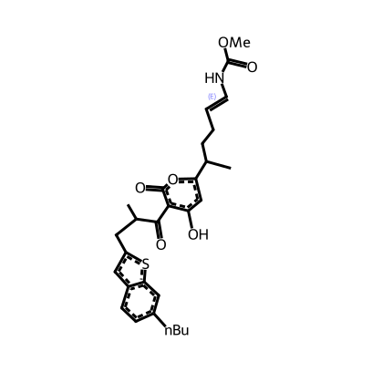 CCCCc1ccc2cc(CC(C)C(=O)c3c(O)cc(C(C)CC/C=C/NC(=O)OC)oc3=O)sc2c1